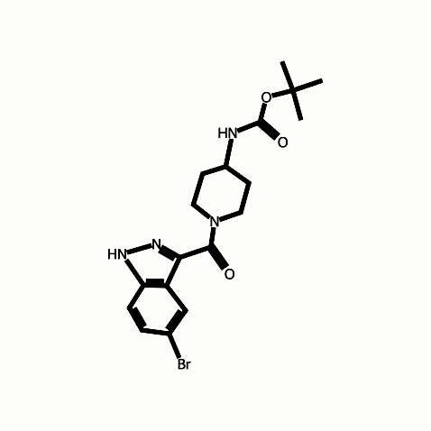 CC(C)(C)OC(=O)NC1CCN(C(=O)c2n[nH]c3ccc(Br)cc23)CC1